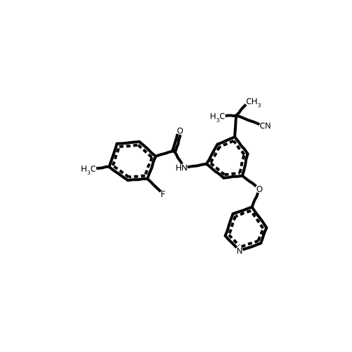 Cc1ccc(C(=O)Nc2cc(Oc3ccncc3)cc(C(C)(C)C#N)c2)c(F)c1